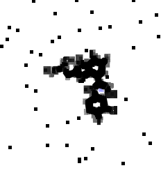 CN(C)Cc1nc2c(/C(=N/O)Nc3ccc(F)c(Cl)c3)cc(F)c(F)c2[nH]1